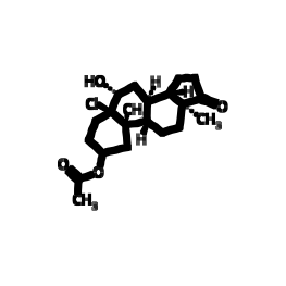 CC(=O)OC1CC[C@]2(Cl)[C@H](O)C[C@H]3[C@@H]4CCC(=O)[C@@]4(C)CC[C@@H]3[C@@]2(C)C1